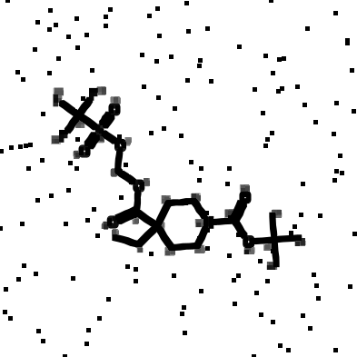 CCC1(C(=O)OCOS(=O)(=O)C(F)(F)F)CCN(C(=O)OC(C)(C)C)CC1